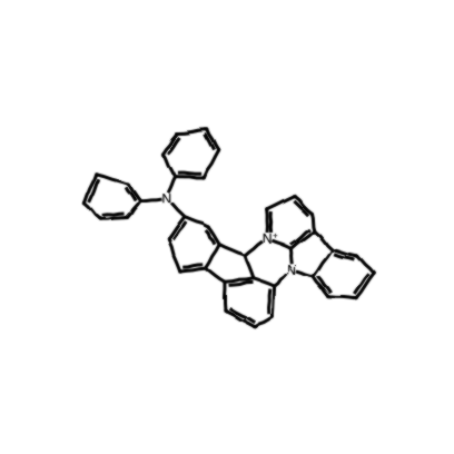 c1ccc(N(c2ccccc2)c2ccc3c(c2)C2c4c-3cccc4-n3c4ccccc4c4ccc[n+]2c43)cc1